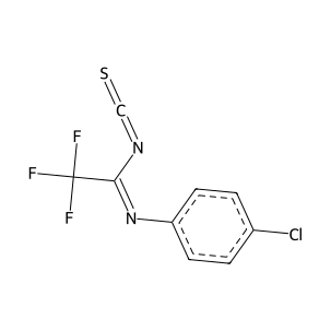 FC(F)(F)C(N=C=S)=Nc1ccc(Cl)cc1